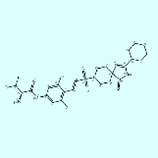 Cc1cc(NC(=O)[C@@H](N)C(C)C)cc(C)c1/C=C/S(=O)(=O)N1CCC2(CC1)N=C(C1CCCCC1)NC2=O